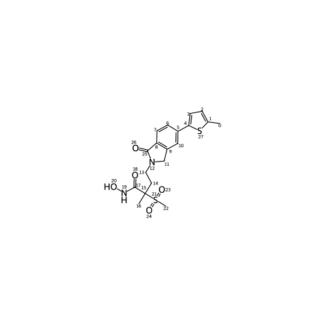 Cc1ccc(-c2ccc3c(c2)CN(CCC(C)(C(=O)NO)S(C)(=O)=O)C3=O)s1